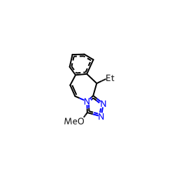 CCC1c2ccccc2C=Cn2c(OC)nnc21